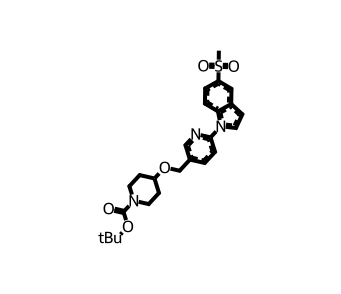 CC(C)(C)OC(=O)N1CCC(OCc2ccc(-n3ccc4cc(S(C)(=O)=O)ccc43)nc2)CC1